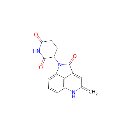 C=c1cc2c(=O)n(C3CCC(=O)NC3=O)c3cccc([nH]1)c3-2